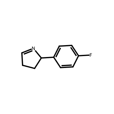 Fc1ccc(C2CCC=N2)cc1